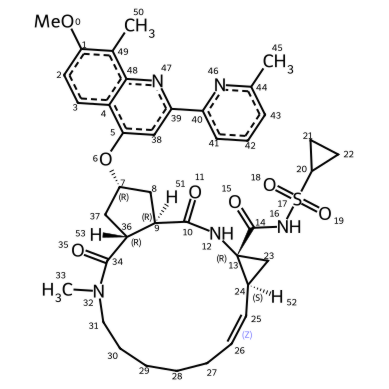 COc1ccc2c(O[C@@H]3C[C@H]4C(=O)N[C@]5(C(=O)NS(=O)(=O)C6CC6)C[C@H]5/C=C\CCCCCN(C)C(=O)[C@@H]4C3)cc(-c3cccc(C)n3)nc2c1C